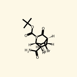 CC(C)(C)OC(=O)N1C(=O)[C@H]2C[C@H](C(N)=O)[C@H]1[C@H](O)[C@H]2Br